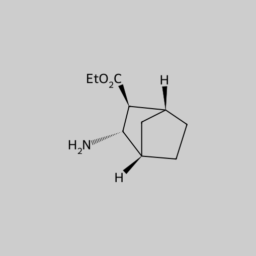 CCOC(=O)[C@H]1[C@@H]2CC[C@@H](C2)[C@@H]1N